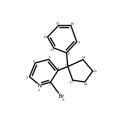 Brc1ncccc1C1(c2ccccc2)CCCC1